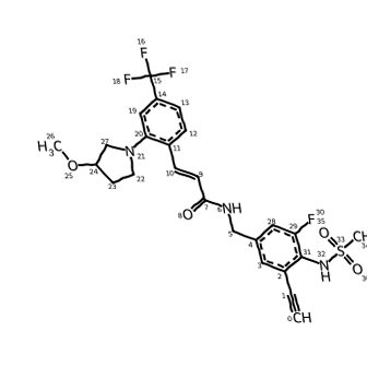 C#Cc1cc(CNC(=O)C=Cc2ccc(C(F)(F)F)cc2N2CCC(OC)C2)cc(F)c1NS(C)(=O)=O